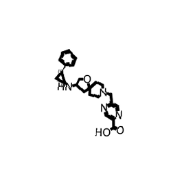 O=C(O)c1cnc(CN2CCC3(CC2)CC(N[C@@H]2C[C@H]2c2ccccc2)CO3)cn1